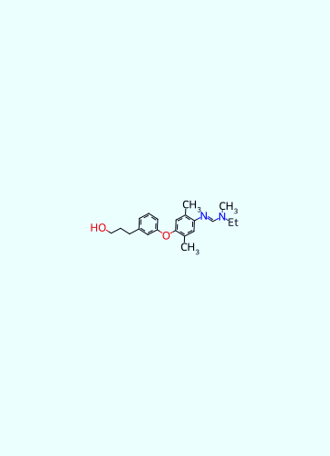 CCN(C)C=Nc1cc(C)c(Oc2cccc(CCCO)c2)cc1C